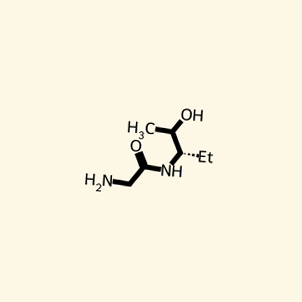 CC[C@H](NC(=O)CN)C(C)O